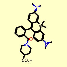 CN(C)c1ccc2c(c1)[Si](C)(C)C1=CC(=[N+](C)C)C=CC1=C2c1ccccc1C(=O)N1CCC(C(=O)O)CC1